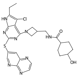 CCc1[nH]c2nc(Sc3cnc4nccnc4c3)nc(N3CC(CNC(=O)C4CCC(O)CC4)C3)c2c1Cl